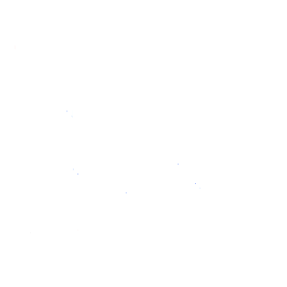 COc1nc(N2CC(O)C2)cc(-n2ncc3cc(C)ccc32)n1